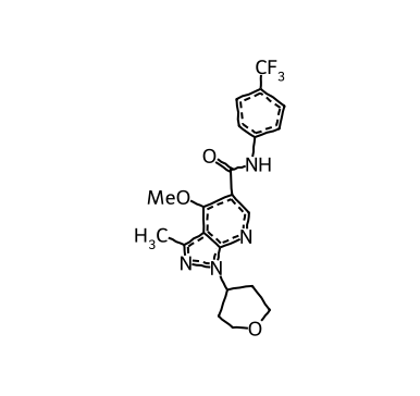 COc1c(C(=O)Nc2ccc(C(F)(F)F)cc2)cnc2c1c(C)nn2C1CCOCC1